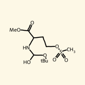 COC(=O)C(CCOS(C)(=O)=O)NC(O)OC(C)(C)C